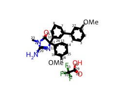 COc1cccc(-c2cccc(C3(c4cccc(OC)c4)N=C(N)N(C)C3=O)c2)c1.O=C(O)C(F)(F)F